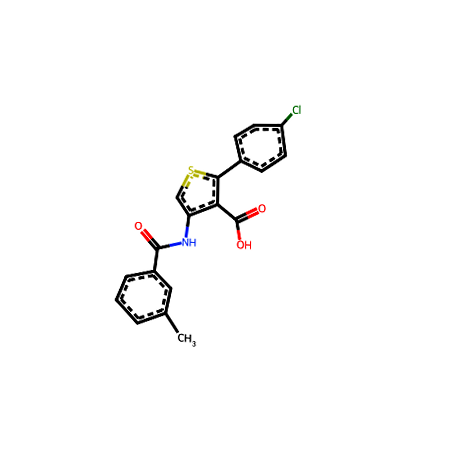 Cc1cccc(C(=O)Nc2csc(-c3ccc(Cl)cc3)c2C(=O)O)c1